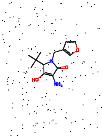 CC(C)(C)C1C(O)=C(N)C(=O)N1Cc1ccoc1